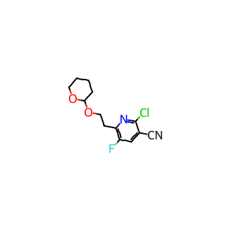 N#Cc1cc(F)c(CCOC2CCCCO2)nc1Cl